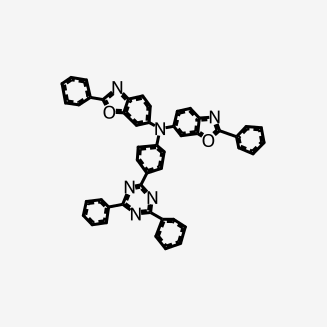 c1ccc(-c2nc(-c3ccccc3)nc(-c3ccc(N(c4ccc5nc(-c6ccccc6)oc5c4)c4ccc5nc(-c6ccccc6)oc5c4)cc3)n2)cc1